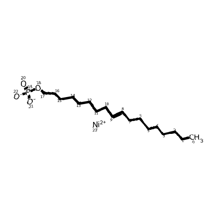 CCCCCCCCC=CCCCCCCCCOP(=O)([O-])[O-].[Ni+2]